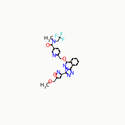 COCc1cc(-c2nnc3c4ccccc4c(OCc4ccc(C(=O)N(C)CC(F)(F)F)cn4)nn23)no1